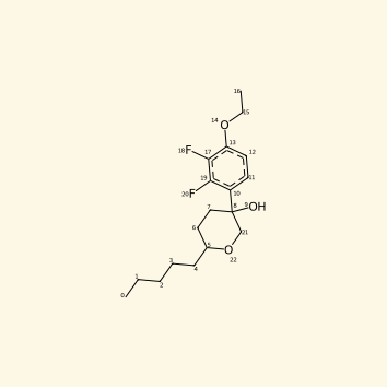 CCCCCC1CCC(O)(c2ccc(OCC)c(F)c2F)CO1